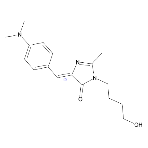 CC1=N/C(=C\c2ccc(N(C)C)cc2)C(=O)N1CCCCO